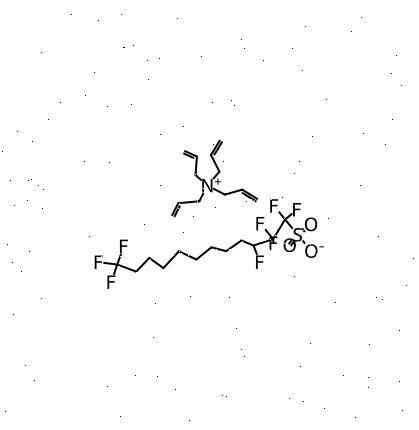 C=CC[N+](CC=C)(CC=C)CC=C.O=S(=O)([O-])C(F)(F)C(F)(F)C(F)CCCCCCCCC(F)(F)F